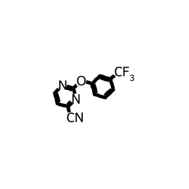 N#Cc1ccnc(Oc2cccc(C(F)(F)F)c2)n1